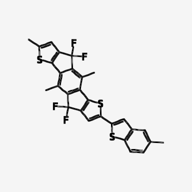 Cc1ccc2sc(-c3cc4c(s3)-c3c(C)c5c(c(C)c3C4(F)F)-c3sc(C)cc3C5(F)F)cc2c1